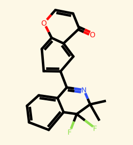 CC1(C)N=C(c2ccc3occc(=O)c3c2)c2ccccc2C1(F)F